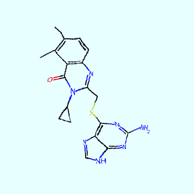 Cc1ccc2nc(CSc3nc(N)nc4[nH]cnc34)n(C3CC3)c(=O)c2c1C